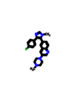 CN1CCN(c2cnc3ccc(-c4c(-c5ccc(F)cc5)ncn4C)cc3c2)CC1